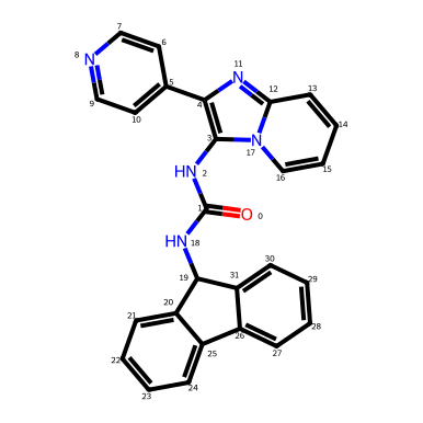 O=C(Nc1c(-c2ccncc2)nc2ccccn12)NC1c2ccccc2-c2ccccc21